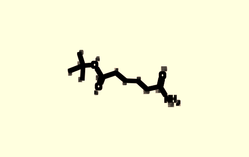 CC(C)(C)OC(=O)CCCCC(N)=O